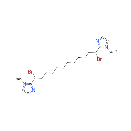 C=Cn1ccnc1C(Br)CCCCCCCCCCC(Br)c1nccn1C=C